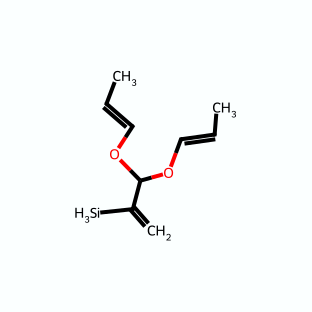 C=C([SiH3])C(OC=CC)OC=CC